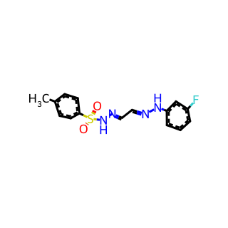 Cc1ccc(S(=O)(=O)N/N=C/C=N/Nc2cccc(F)c2)cc1